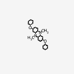 CN1c2ccc(Oc3ccccc3)cc2N(C)c2ccc(Oc3ccccc3)cc21